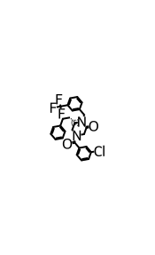 O=C(c1cccc(Cl)c1)N1CC(=O)N(Cc2cccc(C(F)(F)F)c2)[C@@H](CCc2ccccc2)C1